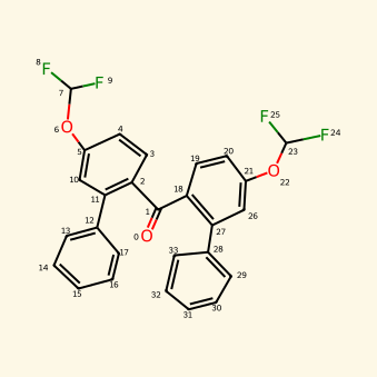 O=C(c1ccc(OC(F)F)cc1-c1ccccc1)c1ccc(OC(F)F)cc1-c1ccccc1